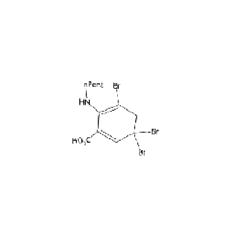 CCCCCNC1=C(Br)CC(Br)(Br)C=C1C(=O)O